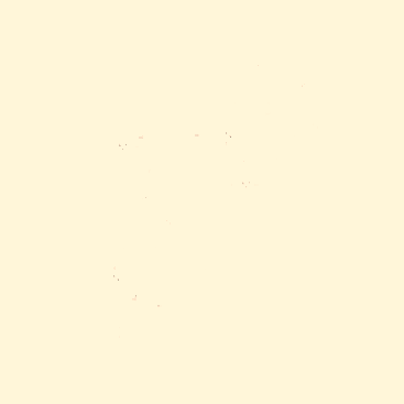 COc1cc(-c2cn(C)c(=O)c(C)c2C)cc(OC)c1CN1CCC(C)C(F)(F)C1